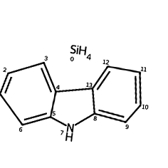 [SiH4].c1ccc2c(c1)[nH]c1ccccc12